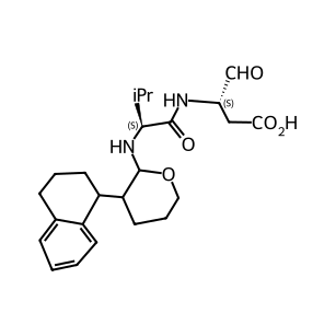 CC(C)[C@H](NC1OCCCC1C1CCCc2ccccc21)C(=O)N[C@H](C=O)CC(=O)O